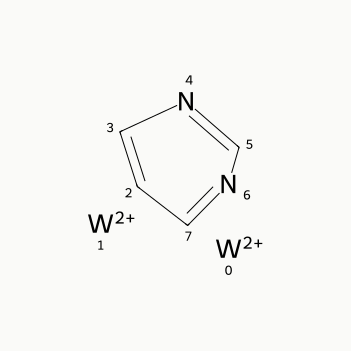 [W+2].[W+2].c1cncnc1